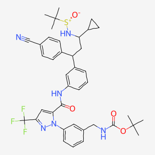 CC(C)(C)OC(=O)NCc1cccc(-n2nc(C(F)(F)F)cc2C(=O)Nc2cccc(C(CC(N[S@+]([O-])C(C)(C)C)C3CC3)c3ccc(C#N)cc3)c2)c1